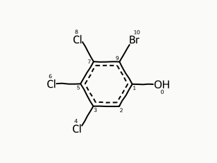 Oc1cc(Cl)c(Cl)c(Cl)c1Br